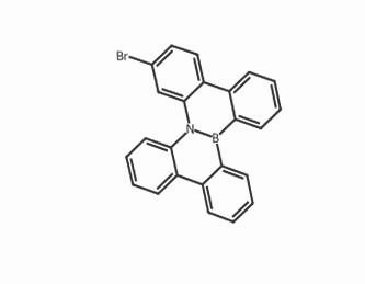 Brc1ccc2c(c1)N1B(c3ccccc3-c3ccccc31)c1ccccc1-2